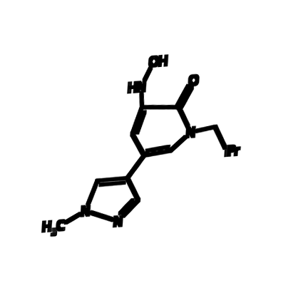 CC(C)Cn1cc(-c2cnn(C)c2)cc(NO)c1=O